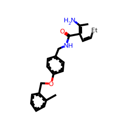 CC/C=C\C(C(=O)NCc1ccc(OCc2ccccc2C)cc1)=C(/C)N